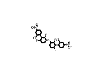 O=[N+]([O-])c1ccc(-c2c(F)ccc(Sc3ccc(F)c(-c4ccc([N+](=O)[O-])cc4Cl)c3F)c2F)c(Cl)c1